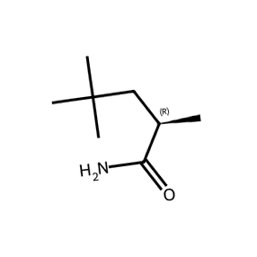 C[C@H](CC(C)(C)C)C(N)=O